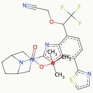 CC(C)(C)OC(=O)N1C2CCC1CN(c1nc3c(C(OCC#N)C(F)(F)F)ccc(-c4nccs4)c3o1)C2